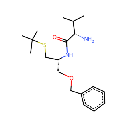 CC(C)[C@H](N)C(=O)N[C@H](COCc1ccccc1)CSC(C)(C)C